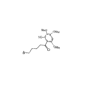 COc1cc(OC)c(C(=O)CCCCBr)c(O)c1OC